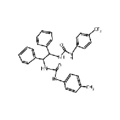 Cc1ccc(NC(=O)NC(c2ccccc2)C(NC(=O)Nc2ccc(C(F)(F)F)cc2)c2ccccc2)cc1